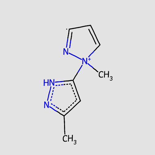 Cc1cc([N+]2(C)C=C[C]=N2)[nH]n1